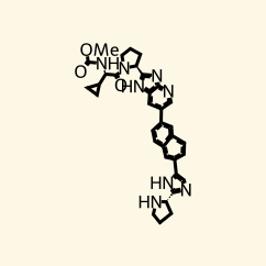 COC(=O)N[C@H](C(=O)N1CCC[C@H]1c1nc2ncc(-c3ccc4cc(-c5cnc([C@@H]6CCCN6)[nH]5)ccc4c3)cc2[nH]1)C1CC1